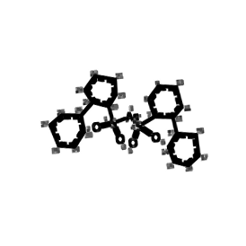 O=S(=O)([As]S(=O)(=O)c1ccccc1-c1ccccc1)c1ccccc1-c1ccccc1